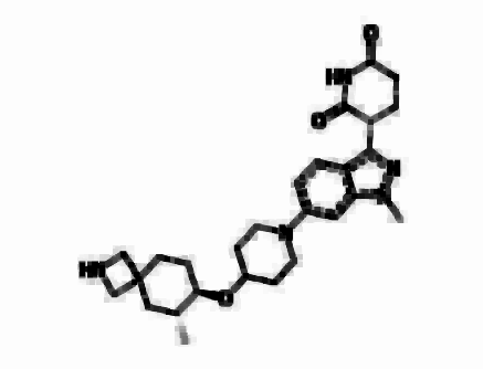 C[C@@H]1CC2(CC[C@H]1OC1CCN(c3ccc4c(C5CCC(=O)NC5=O)nn(C)c4c3)CC1)CNC2